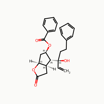 C=C[C@@](O)(CCc1ccccc1)[C@@H]1[C@H]2CC(=O)O[C@H]2C[C@H]1OC(=O)c1ccccc1